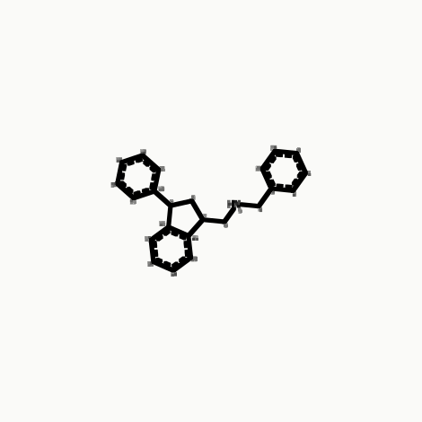 c1ccc(CNCC2CC(c3ccccc3)c3ccccc32)cc1